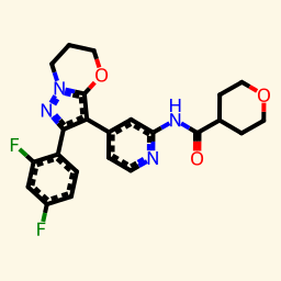 O=C(Nc1cc(-c2c(-c3ccc(F)cc3F)nn3c2OCCC3)ccn1)C1CCOCC1